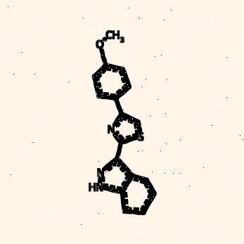 COc1ccc(-c2csc(-c3n[nH]c4ccccc34)n2)cc1